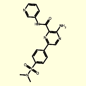 CN(C)S(=O)(=O)c1ccc(-c2cnc(N)c(C(=O)Nc3cccnc3)n2)cc1